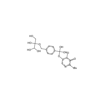 CC(C)(C)n1ncc(OC(O)(O)c2ccc(COC(O)(CO)C(O)O)cc2)c(Cl)c1=O